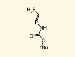 B/C=P/NC(=O)OC(C)(C)C